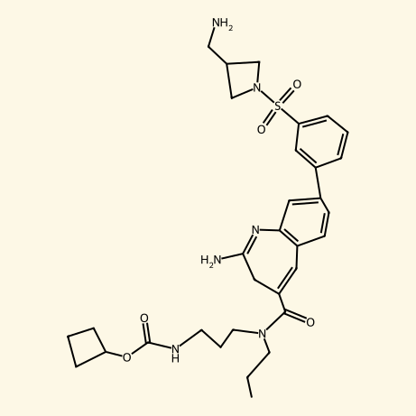 CCCN(CCCNC(=O)OC1CCC1)C(=O)C1=Cc2ccc(-c3cccc(S(=O)(=O)N4CC(CN)C4)c3)cc2N=C(N)C1